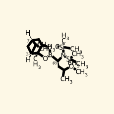 COC(C)C[C@@H](B1OC2C[C@@H]3C[C@@H](C3(C)C)[C@]2(C)O1)N([Si](C)(C)C)[Si](C)(C)C